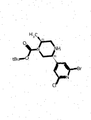 C[C@H]1CN[C@H](c2cc(Cl)nc(Br)c2)CN1C(=O)OC(C)(C)C